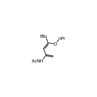 C=C(/C=C(\OCCC)C(C)(C)C)NC(C)=O